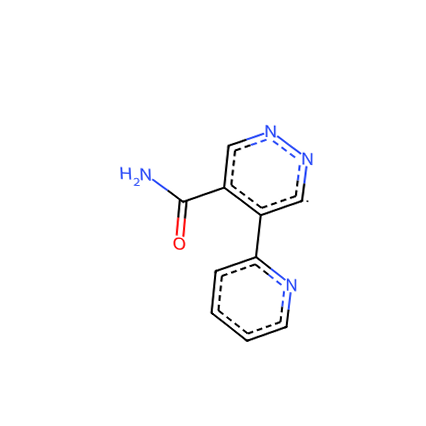 NC(=O)c1cnn[c]c1-c1ccccn1